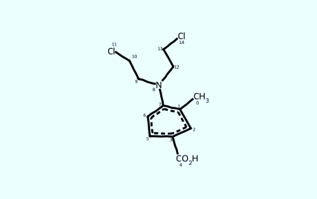 Cc1cc(C(=O)O)ccc1N(CCCl)CCCl